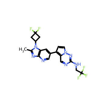 Cc1nc2ncc(-c3ccn4nc(NCC(F)(F)F)ncc34)cc2n1C1CC(F)(F)C1